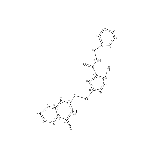 O=C(NCc1ccccc1)c1cc(OCc2nc3cnccc3c(=O)[nH]2)ccc1Cl